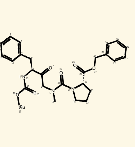 CN(CC(=O)[C@H](Cc1ccccc1)NC(=O)OC(C)(C)C)C(=O)N1CCC[C@H]1C(=O)OCc1ccccc1